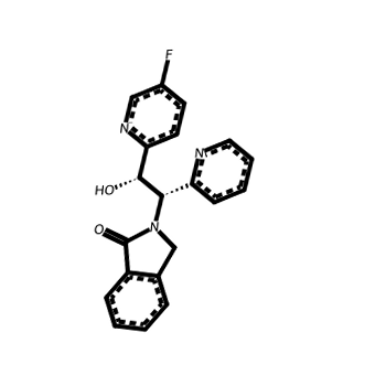 O=C1c2ccccc2CN1[C@@H](c1ccccn1)[C@H](O)c1ccc(F)cn1